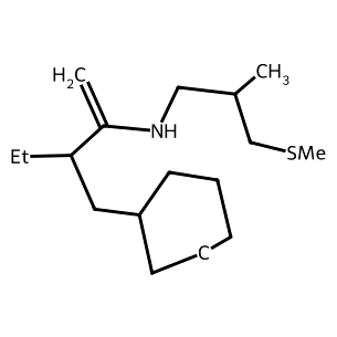 C=C(NCC(C)CSC)C(CC)CC1CCCCC1